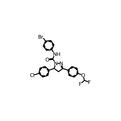 O=C(Nc1ccc(Br)cc1)N1N=C(c2ccc(OC(F)F)cc2)CC1c1ccc(Cl)cc1